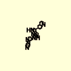 CN1CCN(c2cc(Nc3ncc4c(-c5ccc6ncccc6c5)c[nH]c4n3)ccn2)CC1